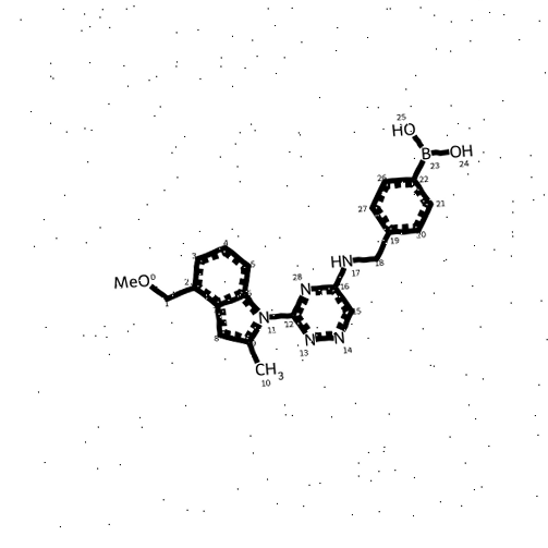 COCc1cccc2c1cc(C)n2-c1nncc(NCc2ccc(B(O)O)cc2)n1